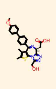 COc1ccc(-c2ccc(C3=N[C@@H](CC(=O)O)c4nnc(CO)n4-c4sc(C)c(C)c43)cc2)cc1